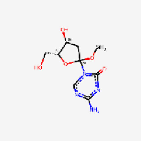 Nc1ncn([C@@]2(O[SiH3])C[C@H](O)[C@@H](CO)O2)c(=O)n1